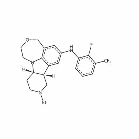 CCN1CC[C@H]2[C@@H](C1)c1cc(Nc3cccc(C(F)(F)F)c3F)cc3c1N2CCOC3